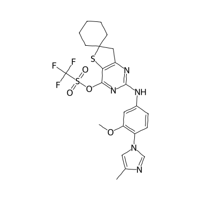 COc1cc(Nc2nc3c(c(OS(=O)(=O)C(F)(F)F)n2)SC2(CCCCC2)C3)ccc1-n1cnc(C)c1